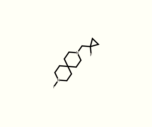 FC1(CN2CCC3(CCN(I)CC3)CC2)CC1